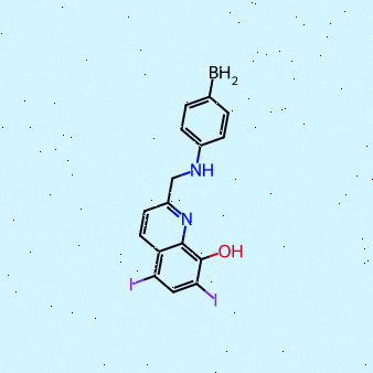 Bc1ccc(NCc2ccc3c(I)cc(I)c(O)c3n2)cc1